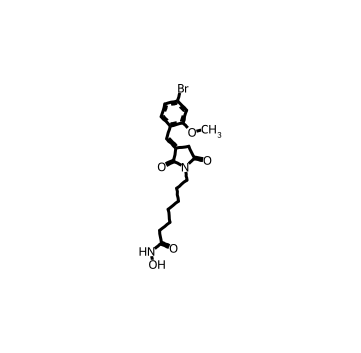 COc1cc(Br)ccc1C=C1CC(=O)N(CCCCCCC(=O)NO)C1=O